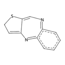 C1=C2N=c3ccccc3=NC=C2SC1